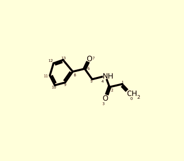 C=CC(=O)NCC(=O)c1ccccc1